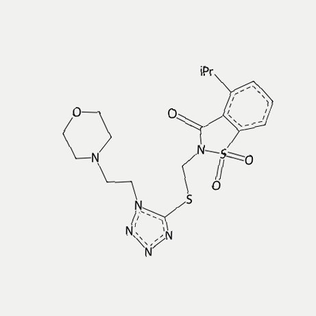 CC(C)c1cccc2c1C(=O)N(CSc1nnnn1CCN1CCOCC1)S2(=O)=O